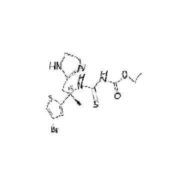 CCOC(=O)NC(=S)N[C@@](C)(CC1=NCCN1)c1cc(Br)cs1